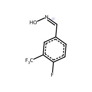 O/N=C\c1ccc(F)c(C(F)(F)F)c1